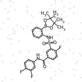 CC1(C)OB(c2ccccc2NS(=O)(=O)c2cc(C(=O)Nc3ccc(F)c(F)c3)ccc2F)OC1(C)C